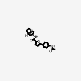 CC(=O)Nc1ccc(-c2ccc(C(=O)N[C@@H]3C[C@@H]4CCN(C4)C3)s2)cc1